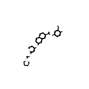 O=C(Nc1ccc(Cl)c(CF)c1)c1ccc2ccc(Oc3ccnc(NC(=O)N4CCCC4)c3)cc2c1